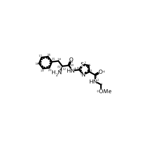 COCNC(=O)c1csc(NC(=O)[C@@H](N)Cc2ccccc2)n1